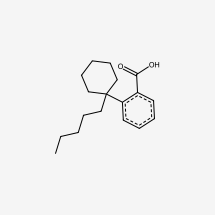 CCCCCC1(c2ccccc2C(=O)O)CCCCC1